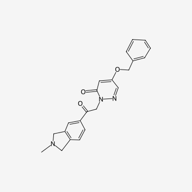 CN1Cc2ccc(C(=O)Cn3ncc(OCc4ccccc4)cc3=O)cc2C1